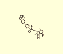 Cc1[nH]c2c(F)ccc(C)c2c1CCNC(=O)c1ccc(-c2ccc(OC(F)(F)F)cc2)cc1